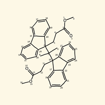 COC(=O)CCC1(C(C)(C)C2(CCC(=O)OC)c3ccccc3-c3ccccc32)c2ccccc2-c2ccccc21